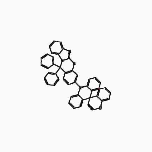 c1ccc(C2(c3ccccc3)c3ccc(N4c5ccccc5C5(c6ccccc6Oc6ccccc65)c5ccccc54)cc3Sc3nc4ccccc4n32)cc1